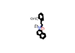 CCN1/C(=C\Cc2ccccc2C=O)Oc2c1ccc1ccccc21